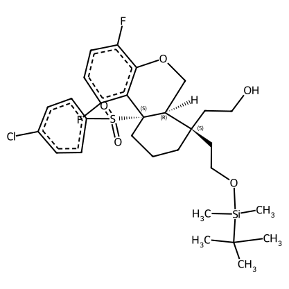 CC(C)(C)[Si](C)(C)OCC[C@@]1(CCO)CCC[C@@]2(S(=O)(=O)c3ccc(Cl)cc3)c3c(F)ccc(F)c3OC[C@@H]12